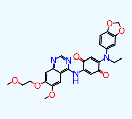 CCN(C1=CC(=O)C(Nc2ncnc3cc(OCCOC)c(OC)cc23)=CC1=O)c1ccc2c(c1)OCO2